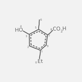 CCc1cc(O)c(C)c(C(=O)O)c1